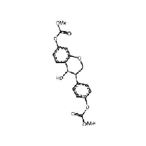 COC(=O)Oc1ccc(C2COc3cc(OC(=O)OC)ccc3C2O)cc1